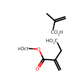 C=C(C)C(=O)O.C=C(CC(=O)O)C(=O)OCCCCCCCC